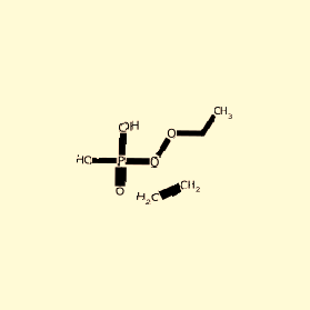 C=C.CCOOP(=O)(O)O